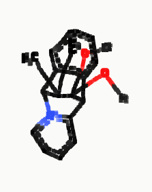 CCOC1(OCC)C2c3ccccc3C([n+]3ccccc32)C1(C)C